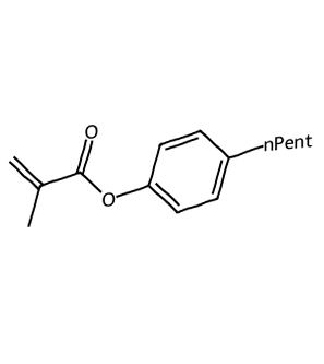 C=C(C)C(=O)Oc1ccc(CCCCC)cc1